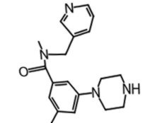 Cc1cc(C(=O)N(C)Cc2cccnc2)cc(N2CCNCC2)c1